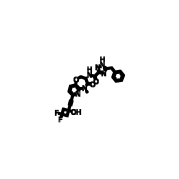 CN1C(=O)[C@@H](NC(=O)c2n[nH]c(Cc3ccccc3)n2)COc2ccc(C#CC3(O)CC(F)(F)C3)nc21